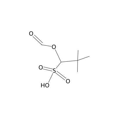 CC(C)(C)C(OC=O)S(=O)(=O)O